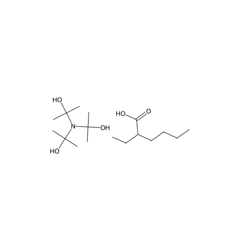 CC(C)(O)N(C(C)(C)O)C(C)(C)O.CCCCC(CC)C(=O)O